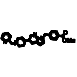 COC(=O)c1ccc(Cn2ccc3c2=NCC(C2=CCN(Cc4ccccn4)CC2)C=3)cc1